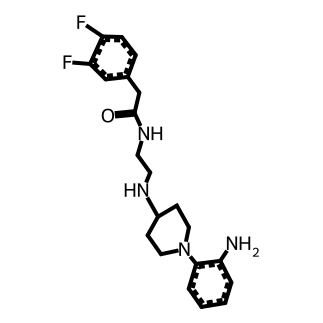 Nc1ccccc1N1CCC(NCCNC(=O)Cc2ccc(F)c(F)c2)CC1